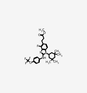 COC(=O)CCc1ccc2c(nc(Nc3ccc(OC(F)(F)F)cc3)n2C2CC(C)(C)CC(C)(C)C2)c1F